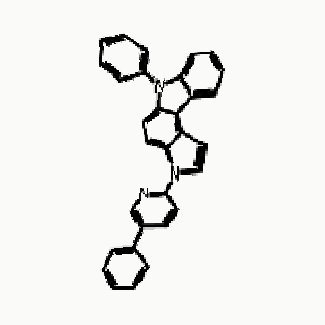 c1ccc(-c2ccc(-n3ccc4c5c6ccccc6n(-c6ccccc6)c5ccc43)nc2)cc1